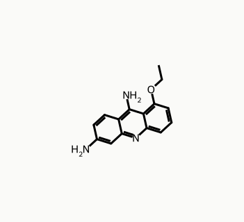 CCOc1cccc2nc3cc(N)ccc3c(N)c12